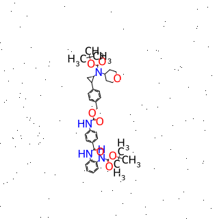 CC(C)(C)OC(=O)Nc1ccccc1NC(=O)c1ccc(NC(=O)OCc2ccc(C3CC3N(C(=O)OC(C)(C)C)C3CCOCC3)cc2)cc1